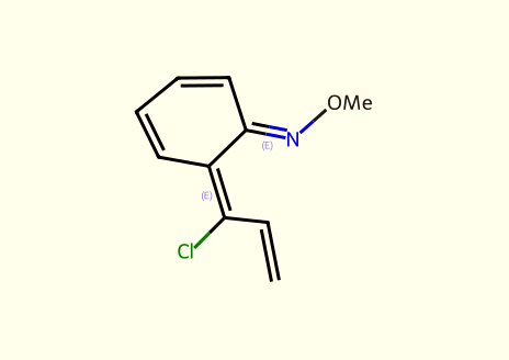 C=C/C(Cl)=C1/C=CC=C/C1=N\OC